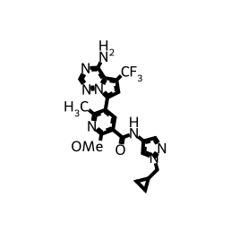 COc1nc(C)c(-c2cc(C(F)(F)F)c3c(N)ncnn23)cc1C(=O)Nc1cnn(CC2CC2)c1